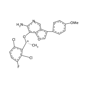 COc1ccc(-c2coc3c(O[C@H](C)c4c(Cl)ccc(F)c4Cl)c(N)ncc23)cc1